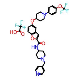 O=C(NC1CCN(Cc2ccncc2)CC1)c1cc2cc(OC3CCN(c4ccc(OC(F)(F)F)cc4)CC3)ccc2o1.O=C(O)C(F)(F)F